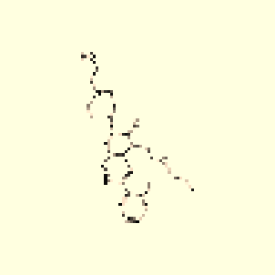 CCCOCCn1c(=O)c(N2CCN(CCO)CC2)nc2cnc(-c3ccccc3F)cc21